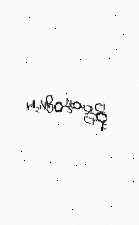 CC(Oc1ccc2nc(-c3ccc(OC(N)=O)cc3)sc2c1)c1c(Cl)ccc(F)c1Cl